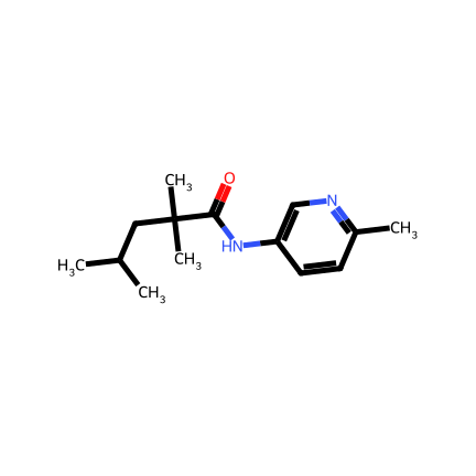 Cc1ccc(NC(=O)C(C)(C)CC(C)C)cn1